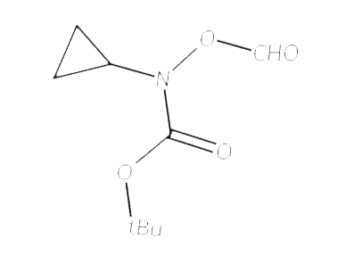 CC(C)(C)OC(=O)N(OC=O)C1CC1